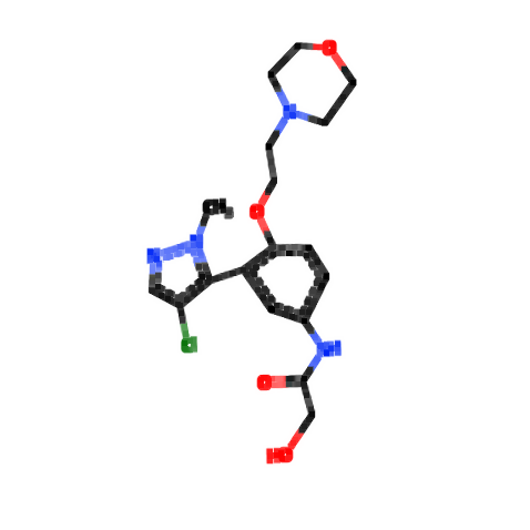 Cn1ncc(Cl)c1-c1cc(NC(=O)CO)ccc1OCCN1CCOCC1